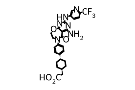 Nc1nc(Nc2ccc(C(F)(F)F)nc2)nc2c1C(=O)N(c1ccc([C@H]3CC[C@H](CC(=O)O)CC3)cc1)CCO2